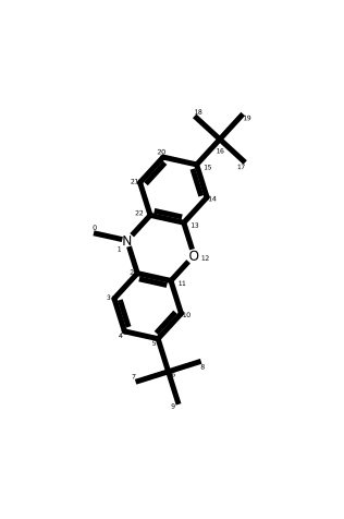 CN1c2ccc(C(C)(C)C)cc2Oc2cc(C(C)(C)C)ccc21